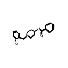 O=C(OC1CCN(Cc2ccccc2Cl)CC1)c1ccccc1